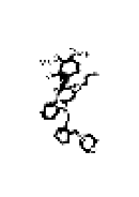 COc1ccc(C(=O)N(CCC(C)C)Cc2nc3ccccc3n2Cc2ccccc2CN2CCOCC2)c(Cl)c1OC